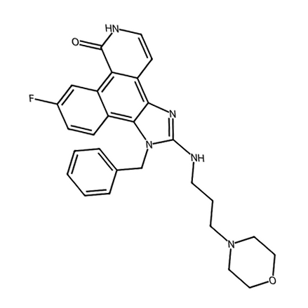 O=c1[nH]ccc2c3nc(NCCCN4CCOCC4)n(Cc4ccccc4)c3c3ccc(F)cc3c12